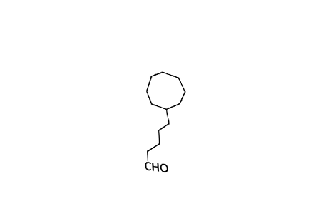 O=CCCCCC1CCCCCCC1